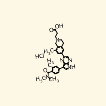 Cc1cc(-c2c[nH]c3ncc(-c4cc(C)c5c(c4)CCN(CCC(=O)O)C5)nc23)ccc1C(=O)N(C)C.Cl